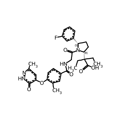 CCC(CC)(C(=O)O)[C@H]1CC[C@@H](c2cccc(F)c2)N1C(=O)CNC(=O)c1ccc(Oc2cc(C)n[nH]c2=O)c(C)c1